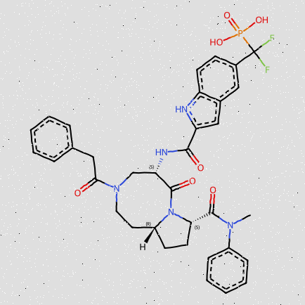 CN(C(=O)[C@@H]1CC[C@@H]2CCN(C(=O)Cc3ccccc3)C[C@H](NC(=O)c3cc4cc(C(F)(F)P(=O)(O)O)ccc4[nH]3)C(=O)N21)c1ccccc1